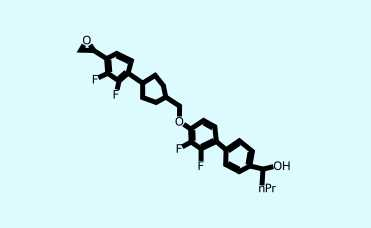 CCCC(O)c1ccc(-c2ccc(OCC3CCC(c4ccc(C5CO5)c(F)c4F)CC3)c(F)c2F)cc1